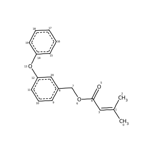 CC(C)=CC(=O)OCc1cccc(Oc2ccccc2)c1